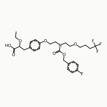 CCOC(Cc1ccc(OCCN(CCOCCCC(F)(F)F)C(=O)OCc2ccc(F)cc2)cc1)C(=O)O